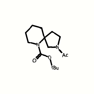 CC(=O)N1CCC2(CCCCN2C(=O)OC(C)(C)C)C1